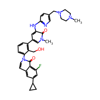 CN1CCN(Cc2ccc(Nc3cc(-c4cccc(-n5ccc6cc(C7CC7)cc(F)c6c5=O)c4CO)cn(C)c3=O)nc2)CC1